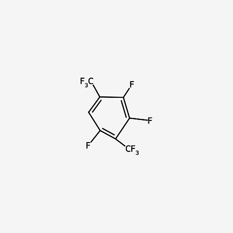 Fc1cc(C(F)(F)F)c(F)c(F)c1C(F)(F)F